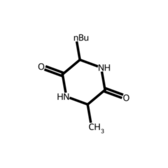 CCCCC1NC(=O)C(C)NC1=O